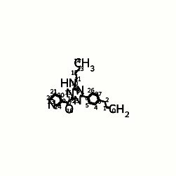 C=CCc1ccc(-c2nc(NCCCC)nc(C(=O)c3cccnc3)n2)cc1